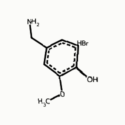 Br.COc1cc(CN)ccc1O